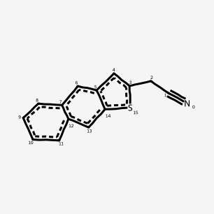 N#CCc1cc2cc3ccccc3cc2s1